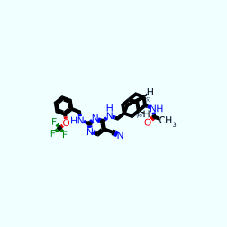 CC(=O)NC1[C@@H]2CC3C[C@H]1CC(CNc1nc(NCc4ccccc4OC(F)(F)F)ncc1C#N)(C3)C2